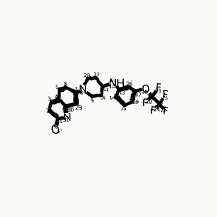 [O]c1ccc2ccc(N3CCC(Nc4cccc(OC(F)(F)C(F)(F)F)c4)CC3)cc2n1